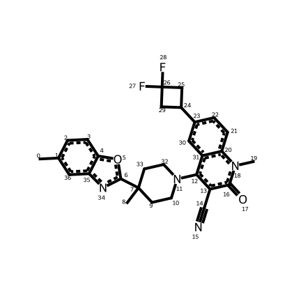 Cc1ccc2oc(C3(C)CCN(c4c(C#N)c(=O)n(C)c5ccc(C6CC(F)(F)C6)cc45)CC3)nc2c1